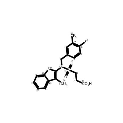 Cc1c(N(Cc2ccc(F)c(C(F)(F)F)c2)S(=O)(=O)CCC(=O)O)sc2ccccc12